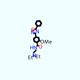 CCN(CC)CCNC(=O)c1ccc(-c2noc(-c3ccccc3)n2)cc1OC